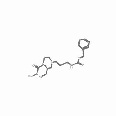 CC(C)(C)OC(=O)N1CCN(CCCNC(=O)OCc2ccccc2)CC1CO